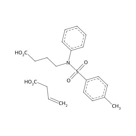 C=CCC(=O)O.Cc1ccc(S(=O)(=O)N(CCCC(=O)O)c2ccccc2)cc1